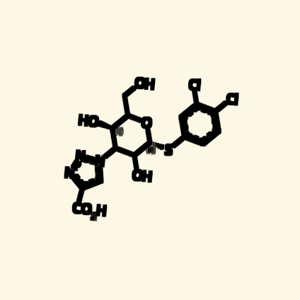 O=C(O)c1cn(C2C(O)[C@@H](Sc3ccc(Cl)c(Cl)c3)OC(CO)[C@@H]2O)nn1